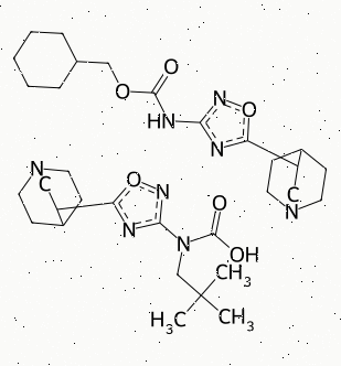 CC(C)(C)CN(C(=O)O)c1noc(C2CN3CCC2CC3)n1.O=C(Nc1noc(C2CN3CCC2CC3)n1)OCC1CCCCC1